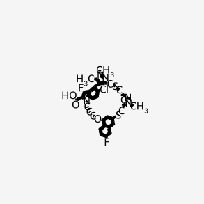 Cc1c2c(nn1C)CSCc1cc(n(C)n1)CSc1cc(c3ccc(F)cc3c1)OCCCn1c(C(=O)O)c(F)c3c-2c(Cl)ccc31